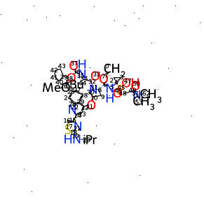 C=C[C@@H]1C[C@]1(NC(=O)[C@@H]1C[C@@H](Oc2cc(-c3csc(NC(C)C)n3)nc3cc(OC)ccc23)CN1C(=O)[C@@H](NC(=O)OC1CCCC1)C(C)(C)C)P(=O)(O)CC(=O)N(C)C